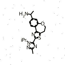 Cc1nc(-c2nc3c(s2)CCOc2cc(C(C)N)ccc2-3)n(C(C)C)n1